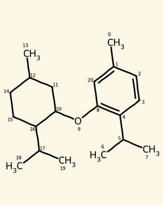 Cc1ccc(C(C)C)c(OC2CC(C)CCC2C(C)C)c1